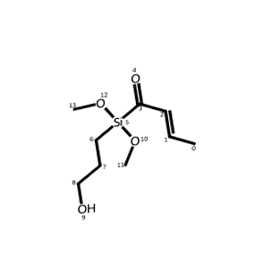 CC=CC(=O)[Si](CCCO)(OC)OC